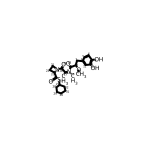 COC(Cc1ccc(O)c(O)c1)C(=O)N(C)C(C)C(=O)N1CCC1C(=O)SC1CCCCC1